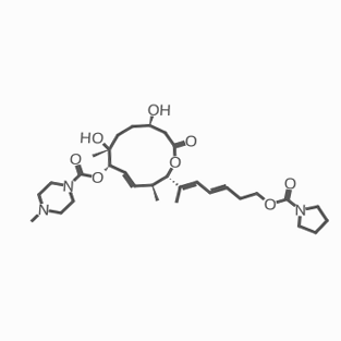 C/C(=C\C=C\CCOC(=O)N1CCCC1)[C@H]1OC(=O)C[C@H](O)CC[C@@](C)(O)[C@@H](OC(=O)N2CCN(C)CC2)/C=C/[C@@H]1C